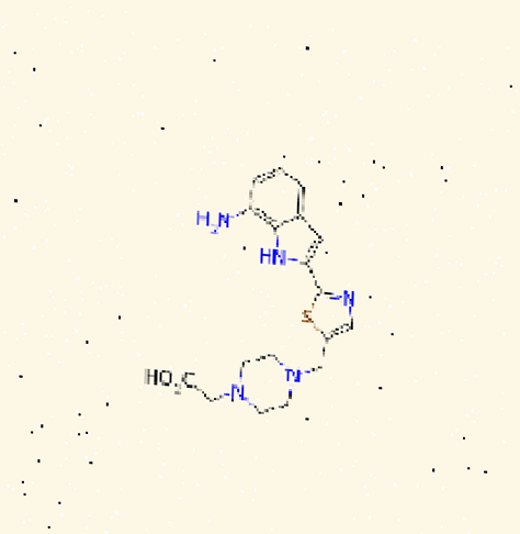 Nc1cccc2cc(-c3ncc(CN4CCN(CC(=O)O)CC4)s3)[nH]c12